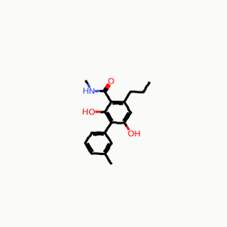 CCCc1cc(O)c(-c2cccc(C)c2)c(O)c1C(=O)NC